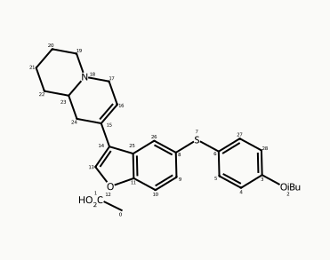 CC(=O)O.CC(C)COc1ccc(Sc2ccc3occ(C4=CCN5CCCCC5C4)c3c2)cc1